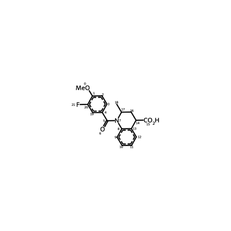 COc1ccc(C(=O)N2c3ccccc3C(C(=O)O)CC2C)cc1F